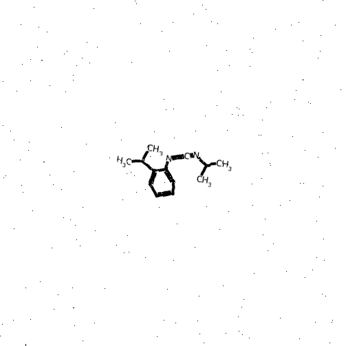 CC(C)N=C=Nc1ccccc1C(C)C